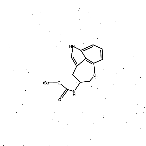 CC(C)(C)OC(=O)NC1COc2cccc3[nH]cc(c23)C1